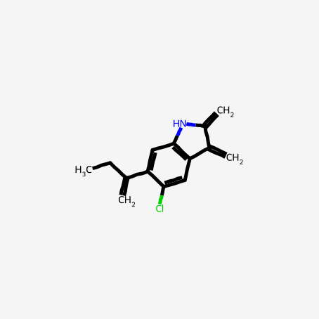 C=C(CC)c1cc2[nH]c(=C)c(=C)c2cc1Cl